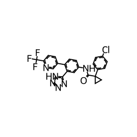 O=C(Nc1ccc(-c2ccc(C(F)(F)F)nc2)c(-c2nnn[nH]2)c1)C1(c2ccc(Cl)cc2)CC1